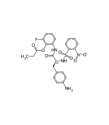 CCC(=O)Oc1c(F)cccc1NC(=O)[C@H](Cc1ccc(N)cc1)NS(=O)(=O)c1ccccc1[N+](=O)[O-]